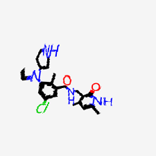 CCN(c1cc(Cl)cc(C(=O)NCc2c(C)cc(C)[nH]c2=O)c1C)C1CCNCC1